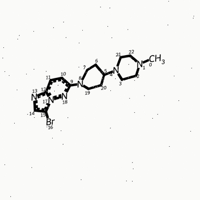 CN1CCN(C2CCN(c3ccc4ncc(Br)n4n3)CC2)CC1